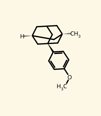 COc1ccc([C@@]23CC4C[C@@H](C[C@@](C)(C4)C2)C3)cc1